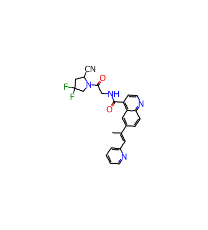 C/C(=C\c1ccccn1)c1ccc2nccc(C(=O)NCC(=O)N3CC(F)(F)CC3C#N)c2c1